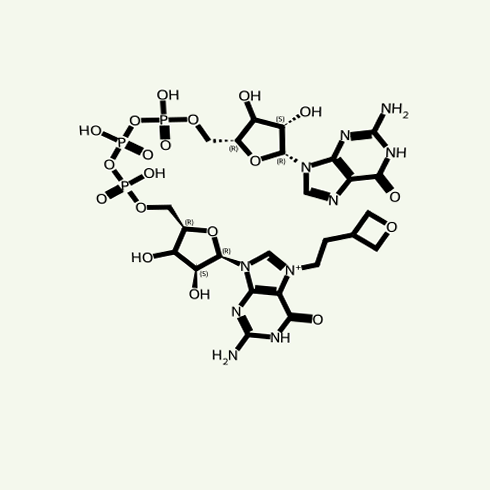 Nc1nc2c(ncn2[C@@H]2O[C@H](COP(=O)(O)OP(=O)(O)OP(=O)(O)OC[C@H]3O[C@@H](n4c[n+](CCC5COC5)c5c(=O)[nH]c(N)nc54)[C@@H](O)C3O)C(O)[C@@H]2O)c(=O)[nH]1